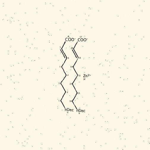 CCCCCCCCCCCCCCCC=CC(=O)[O-].CCCCCCCCCCCCCCCC=CC(=O)[O-].[Zn+2]